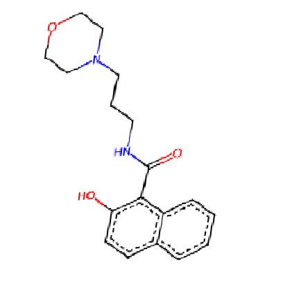 O=C(NCCCN1CCOCC1)c1c(O)ccc2ccccc12